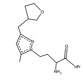 CCCC(=O)C(N)CCn1nc(CC2CCOC2)cc1C